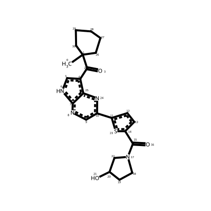 CC1(C(=O)c2c[nH]c3ncc(-c4ccc(C(=O)N5CCC(O)C5)s4)nc23)CCCCC1